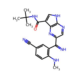 CNc1ccc(C#N)cc1C(=N)c1cnc2[nH]cc(C(=O)NC(C)(C)C)c2n1